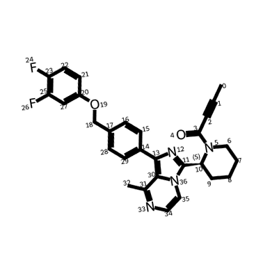 CC#CC(=O)N1CCCC[C@H]1c1nc(-c2ccc(COc3ccc(F)c(F)c3)cc2)c2c(C)nccn12